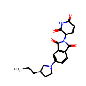 O=C(O)CC[C@@H]1CCN(c2ccc3c(c2)C(=O)N(C2CCC(=O)NC2=O)C3=O)C1